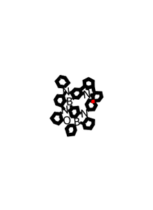 c1ccc(N2c3cc4c5cccc6c7ccccc7n(c4cc3B3c4cc7c8c(c4N(c4ccccc4)c4cccc2c43)Oc2ccccc2B8c2ccccc2N7c2ccccc2)c65)cc1